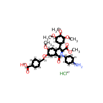 COC(=O)c1c(-c2cc(OC)c(OC)c(OC)c2)c2cc(OC)c(OCc3ccc(C(=O)O)cc3)cc2c(=O)n1-c1ccc(N)cc1.Cl